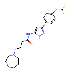 O=C(CCCN1CCCCCC1)Nc1cc(-c2ccc(OC(F)F)cc2)n[nH]1